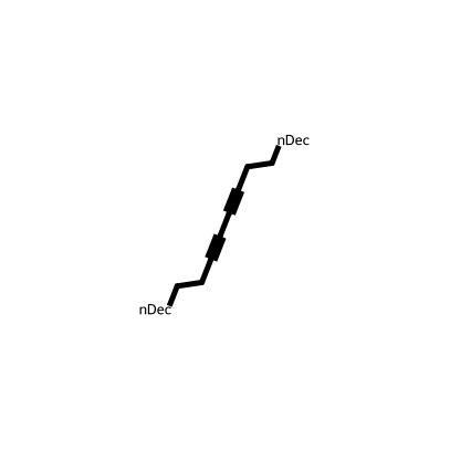 CCCCCCCCCCCCC#CC#CCCCCCCCCCCCC